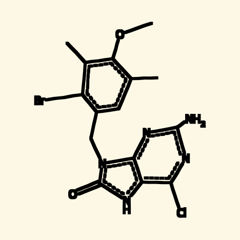 COc1c(C)cc(Cn2c(=O)[nH]c3c(Cl)nc(N)nc32)c(Br)c1C